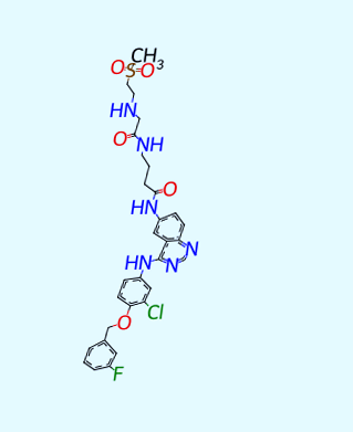 CS(=O)(=O)CCNCC(=O)NCCCC(=O)Nc1ccc2ncnc(Nc3ccc(OCc4cccc(F)c4)c(Cl)c3)c2c1